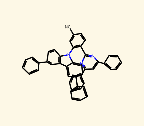 N#Cc1ccc(-c2nc(-c3ccccc3)cc(-c3ccccc3)n2)c(-n2c3ccc(-c4ccccc4)cc3c3cc(-c4ccccc4)ccc32)c1